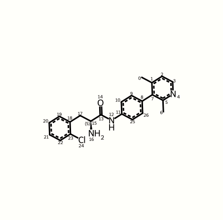 Cc1ccnc(C)c1-c1ccc(NC(=O)[C@@H](N)Cc2ccccc2Cl)cc1